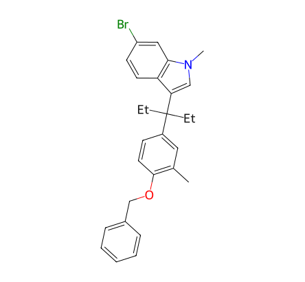 CCC(CC)(c1ccc(OCc2ccccc2)c(C)c1)c1cn(C)c2cc(Br)ccc12